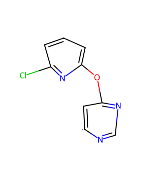 Clc1cccc(Oc2c[c]ncn2)n1